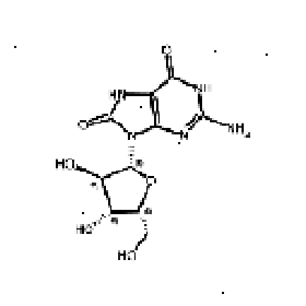 Nc1nc2c([nH]c(=O)n2[C@@H]2O[C@H](CO)[C@H](O)[C@H]2O)c(=O)[nH]1